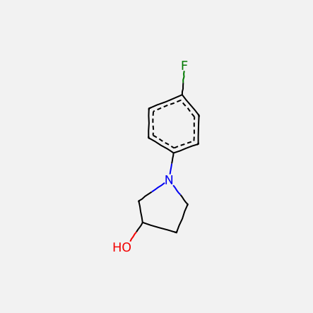 OC1CCN(c2ccc(F)cc2)C1